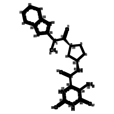 CN(C(=O)[C@@H]1CC[C@@H](NC(=O)c2[nH]c(=O)[nH]c(=O)c2N)C1)c1nc2ccccc2s1